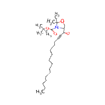 CCCCCCCCCCCCCC#CC(=O)C1COC(C)(C)N1C(=O)OC(C)(C)C